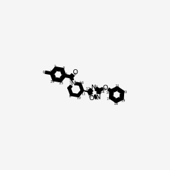 Cc1ccc(C(=O)N2CCC[C@H](c3nc(Oc4ccccc4)no3)C2)cc1